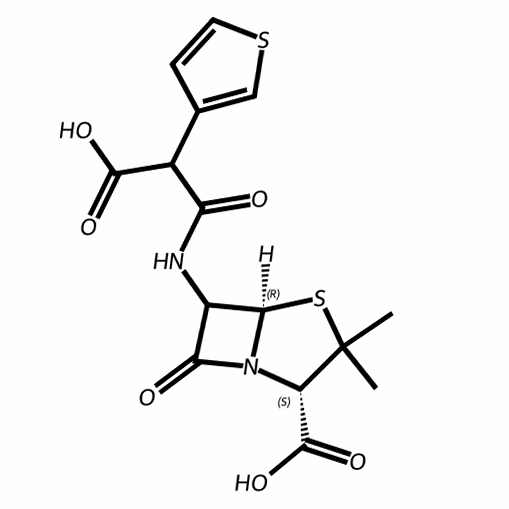 CC1(C)S[C@@H]2C(NC(=O)C(C(=O)O)c3ccsc3)C(=O)N2[C@H]1C(=O)O